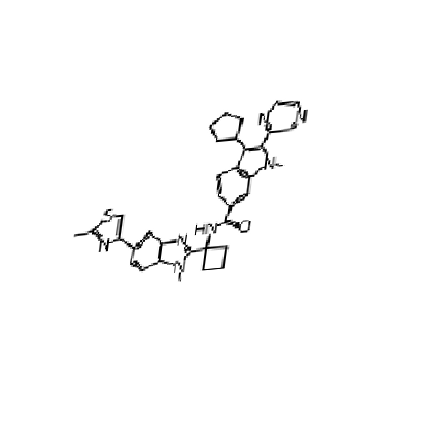 Cc1nc(-c2ccc3c(c2)nc(C2(NC(=O)c4ccc5c(C6CCCC6)c(-c6cnccn6)n(C)c5c4)CCC2)n3C)cs1